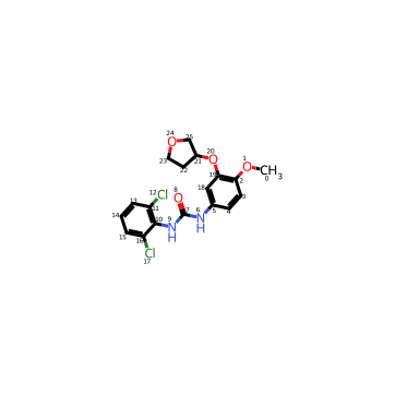 COc1ccc(NC(=O)Nc2c(Cl)cccc2Cl)cc1OC1CCOC1